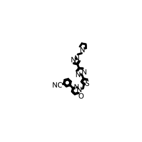 N#Cc1cccc(-c2ccc(=O)n(Cc3cc(-c4ncc(-c5cnn(CCN6CCCC6)c5)cn4)cs3)n2)c1